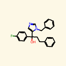 OC(CCc1ccccc1)(c1ccc(F)cc1)c1cncn1Cc1ccccc1